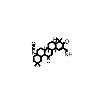 CC1(C)CC[C@]2(N=C=O)CC[C@]3(C)C(C(=O)C=C4[C@@]5(C)C=C(C=N)C(=O)C(C)(C)[C@@H]5CC[C@]43C)C2C1